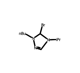 CCCCN1N=CN(C(C)C)C1Br